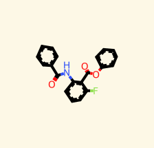 O=C(Nc1cccc(F)c1C(=O)Oc1ccccc1)c1ccccc1